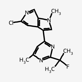 Cc1cc(-c2cn(C)c3cnc(Cl)cc23)nc(C(C)(C)F)n1